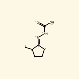 CC1CCC/C1=N\NC(=O)O